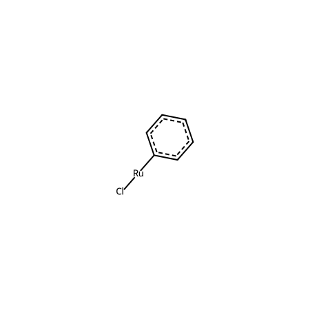 [Cl][Ru][c]1ccccc1